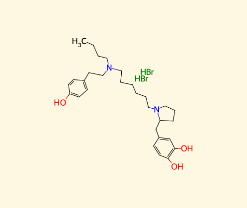 Br.Br.CCCCN(CCCCCCN1CCCC1Cc1ccc(O)c(O)c1)CCc1ccc(O)cc1